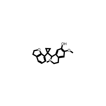 COc1cc2c(cc1O)C(C1(c3cccc4c3OCC4)CC1)N(C)CC2